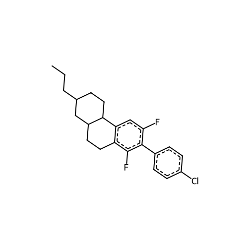 CCCC1CCC2c3cc(F)c(-c4ccc(Cl)cc4)c(F)c3CCC2C1